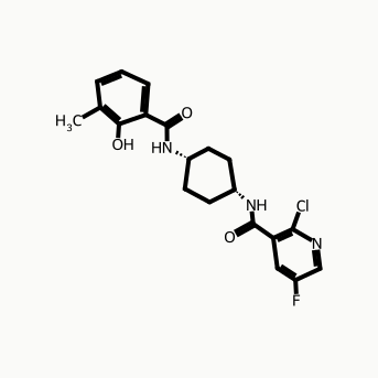 Cc1cccc(C(=O)N[C@H]2CC[C@@H](NC(=O)c3cc(F)cnc3Cl)CC2)c1O